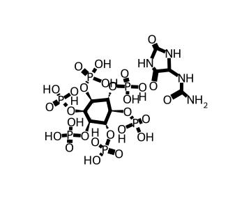 NC(=O)NC1NC(=O)NC1=O.O=P(O)(O)O[C@H]1[C@H](OP(=O)(O)O)[C@@H](OP(=O)(O)O)[C@H](OP(=O)(O)O)[C@@H](OP(=O)(O)O)[C@H]1OP(=O)(O)O